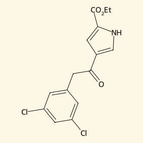 CCOC(=O)c1cc(C(=O)Cc2cc(Cl)cc(Cl)c2)c[nH]1